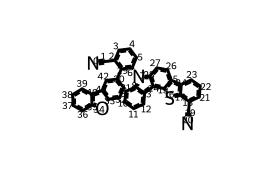 N#Cc1cccc(-n2c3ccccc3c3c4sc5c(C#N)cccc5c4ccc32)c1-c1ccc2oc3ccccc3c2c1